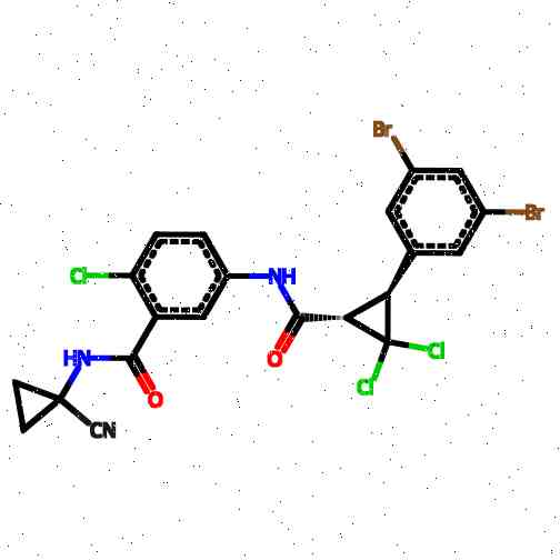 N#CC1(NC(=O)c2cc(NC(=O)[C@@H]3[C@@H](c4cc(Br)cc(Br)c4)C3(Cl)Cl)ccc2Cl)CC1